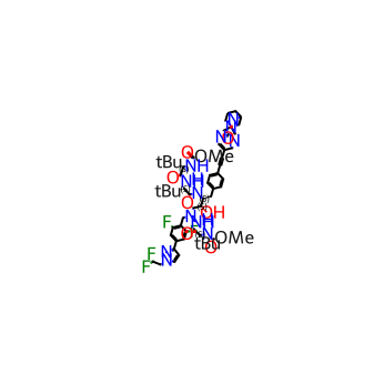 COC(=O)N[C@H](C(=O)N[C@H](C(=O)N[C@@H](Cc1ccc(C#Cc2cnc(N3CC4CC(C3)N4C3COC3)nc2)cc1)[C@@H](O)CN(Cc1c(F)cc(-c2ccn(CC(F)F)n2)cc1F)NC(=O)[C@@H](NC(=O)OC)C(C)(C)C)C(C)(C)C)C(C)(C)C